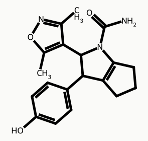 Cc1noc(C)c1C1C(c2ccc(O)cc2)C2=C(CCC2)N1C(N)=O